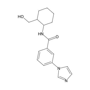 O=C(NC1CCCCC1CO)c1cccc(-n2ccnc2)c1